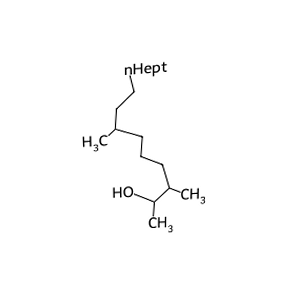 CCCCCCCCCC(C)CCCC(C)C(C)O